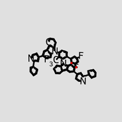 Fc1cc(F)cc(-c2ccc(-n3c4ccccc4c4cc(-c5ccnc(-c6ccccc6)c5)ccc43)c(C(F)(F)F)c2-n2c3ccccc3c3cc(-c4ccnc(-c5ccccc5)c4)ccc32)c1